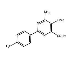 CCOC(=O)c1nc(-c2ccc(C(F)(F)F)cc2)nc(N)c1OC